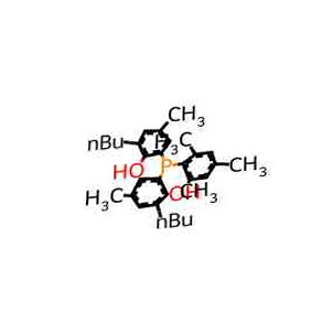 CCCCc1cc(C)cc(P(c2cc(C)cc(CCCC)c2O)c2c(C)cc(C)cc2C)c1O